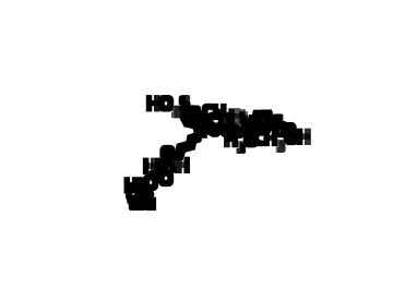 CC[N+]1=C(/C=C/C=C/C=C2/N(CCCCCC(=O)NNC(=O)CONC(=O)OC(C)(C)C)c3ccc(S(=O)(=O)O)cc3C2(C)C)C(C)(C)c2cc(SOOO)ccc21